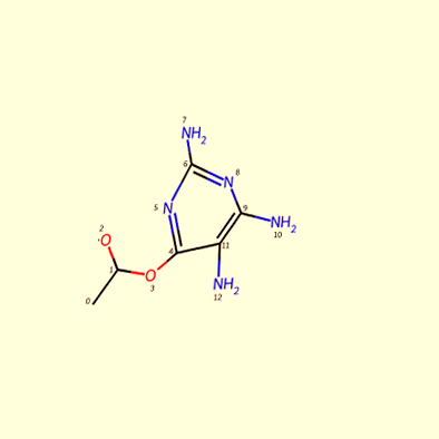 CC([O])Oc1nc(N)nc(N)c1N